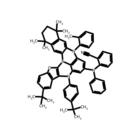 Cc1ccccc1N1c2cc3c(cc2B2c4oc5ccc(C(C)(C)C)cc5c4N(c4ccc(C(C)(C)C)cc4)c4cc(N(c5ccccc5)c5ccccc5C#N)cc1c42)C(C)(C)CCC3(C)C